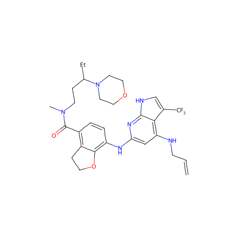 C=CCNc1cc(Nc2ccc(C(=O)N(C)CCC(CC)N3CCOCC3)c3c2OCC3)nc2[nH]cc(C(F)(F)F)c12